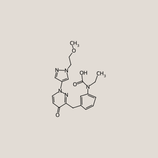 CCN(C(=O)O)c1cccc(Cc2nn(-c3cnn(CCOC)c3)ccc2=O)c1